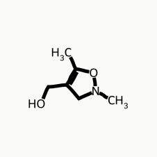 CC1=C(CO)CN(C)O1